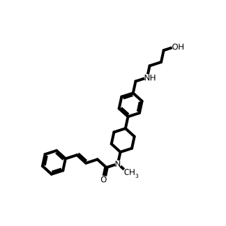 CN(C(=O)C/C=C/c1ccccc1)C1CCC(c2ccc(CNCCCO)cc2)CC1